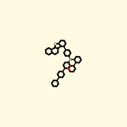 c1ccc(-c2ccc(-c3ccc(N(c4ccc(-c5cccc6oc7c8ccccc8ccc7c56)cc4)c4ccccc4-c4ccccc4)cc3)cc2)cc1